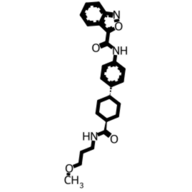 COCCCNC(=O)[C@H]1CC[C@H](c2ccc(NC(=O)c3onc4ccccc34)cc2)CC1